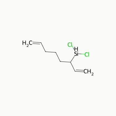 C=CCCCC(C=C)[SiH](Cl)Cl